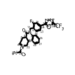 CC(C)C(=O)N1CCC(C(=O)N(Cc2ccc(-c3nnc(C(F)(F)F)o3)cc2F)c2ccccc2)CC1